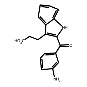 Nc1cccc(C(=O)c2[nH]c3ccccc3c2CCC(=O)O)c1